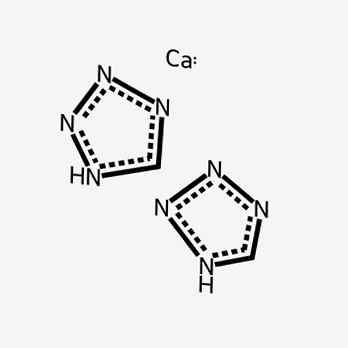 [Ca].c1nnn[nH]1.c1nnn[nH]1